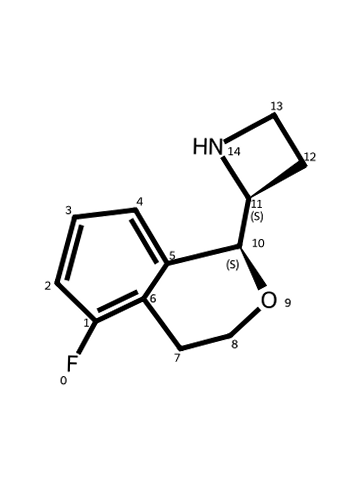 Fc1cccc2c1CCO[C@@H]2[C@@H]1CCN1